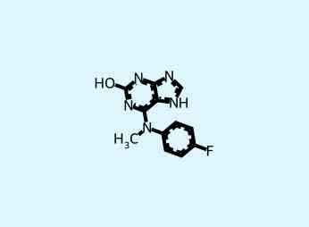 CN(c1ccc(F)cc1)c1nc(O)nc2nc[nH]c12